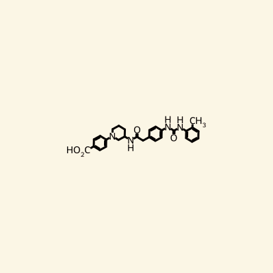 Cc1ccccc1NC(=O)Nc1ccc(CC(=O)NC2CCCN(c3ccc(C(=O)O)cc3)C2)cc1